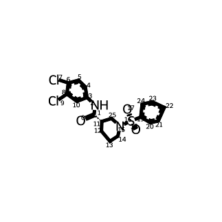 O=C(Nc1ccc(Cl)c(Cl)c1)[C@H]1CCCN(S(=O)(=O)c2ccccc2)C1